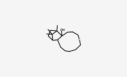 CC1(C)C2CCC1(C)C1(O)CCCCCCCCCC21